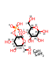 O=P(O)(O)O[C@H]1[C@H](O[C@H]2[C@H](O)[C@@H](O)[C@H](O)O[C@@H]2CO)O[C@H](CO)[C@H](O)[C@@H]1O.[CaH2].[CaH2]